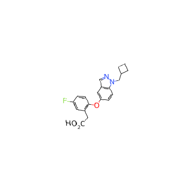 O=C(O)Cc1cc(F)ccc1Oc1ccc2c(cnn2CC2CCC2)c1